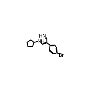 N=C/C(=C\NC1CCCC1)c1ccc(Br)cc1